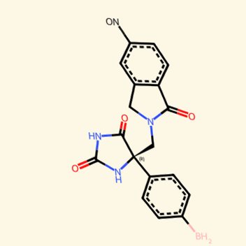 Bc1ccc([C@]2(CN3Cc4cc(N=O)ccc4C3=O)NC(=O)NC2=O)cc1